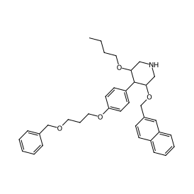 CCCCOC1CNCC(OCc2ccc3ccccc3c2)C1c1ccc(OCCCOCc2ccccc2)cc1